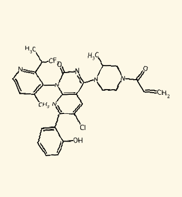 C=CC(=O)N1CCN(c2nc(=O)n(-c3c(C)ccnc3C(C)C(F)(F)F)c3nc(-c4ccccc4O)c(Cl)cc23)C(C)C1